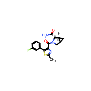 Cc1nc(C(=O)N2CC3C[C@@H]3[C@H]2C(N)=O)c(-c2cccc(F)c2)s1